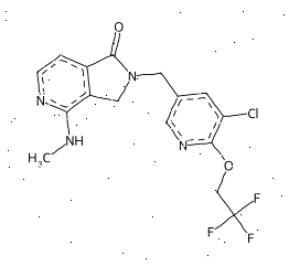 CNc1nccc2c1CN(Cc1cnc(OCC(F)(F)F)c(Cl)c1)C2=O